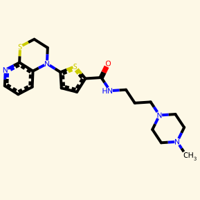 CN1CCN(CCCNC(=O)c2ccc(N3CCSc4ncccc43)s2)CC1